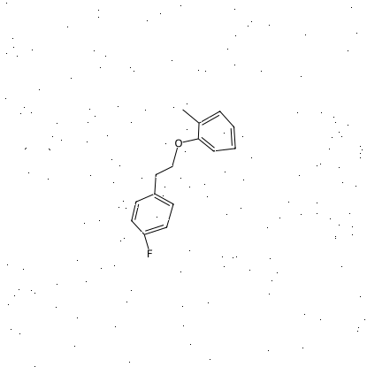 Cc1ccccc1OCCc1ccc(F)cc1